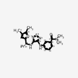 Cc1cc([C@H](Nc2nsnc2Nc2cccc(C(=O)N(C)C)c2)C(C)C)oc1C